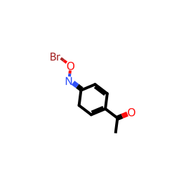 CC(=O)C1=CCC(=NOBr)C=C1